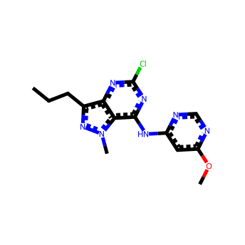 CCCc1nn(C)c2c(Nc3cc(OC)ncn3)nc(Cl)nc12